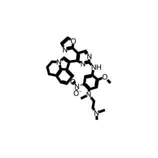 COc1cc(N(C)CCN(C)C)c([N+](=O)[O-])cc1Nc1ncc(-c2ncco2)c(-c2cn3c4c(cccc24)CCC3)n1